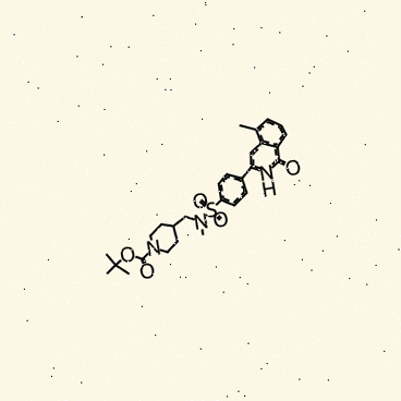 Cc1cccc2c(=O)[nH]c(-c3ccc(S(=O)(=O)N(C)CC4CCN(C(=O)OC(C)(C)C)CC4)cc3)cc12